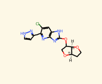 Clc1cc2[nH]c(OC3CO[C@@H]4CCO[C@H]34)nc2nc1-c1cc[nH]n1